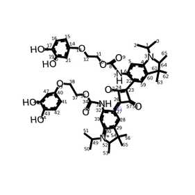 CC(C)N1c2cc(NC(=O)OCCOc3ccc(O)c(O)c3)c(C3=C([O-])/C(=c4/cc5c(cc4NC(=O)OCCOc4ccc(O)c(O)c4)=[N+](C(C)C)C(C)C5(C)C)C3=O)cc2C(C)(C)C1C